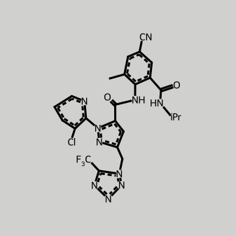 Cc1cc(C#N)cc(C(=O)NC(C)C)c1NC(=O)c1cc(Cn2nnnc2C(F)(F)F)nn1-c1ncccc1Cl